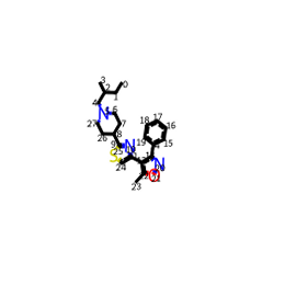 CCC(C)CN1CCC(c2nc(-c3c(-c4ccccc4)noc3C)cs2)CC1